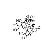 CC(=O)N[C@@H](C(=O)P(=O)(O)OP(=O)(O)O)[C@@H](O)[C@H](O)[C@H](O)CO.O=c1ccn([C@@H]2O[C@H](CO)[C@@H](O)[C@H]2O)c(=O)[nH]1